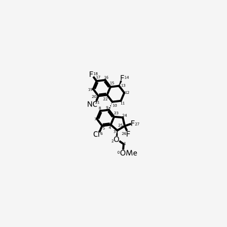 COCO[C@H]1c2c(Cl)ccc([C@H]3CC[C@H](F)c4cc(F)cc(C#N)c43)c2CC1(F)F